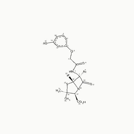 CC(=O)[C@]1(NC(=O)COc2cccc(O)c2)C(=O)N2[C@@H](C(=O)O)C(C)(C)S[C@@H]21